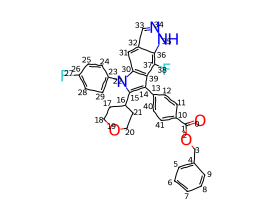 O=C(OCc1ccccc1)c1ccc(-c2c(C3CCOCC3)n(-c3ccc(F)cc3)c3cc4cn[nH]c4c(F)c23)cc1